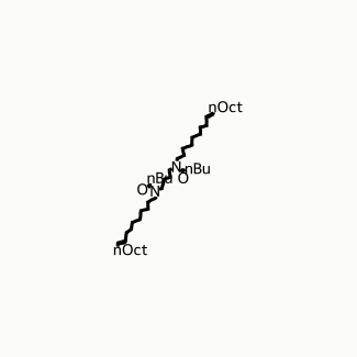 CCCCCCCCC=CCCCCCCCCN(CCCCN(CCCCCCCCC=CCCCCCCCC)C(=O)CCCC)C(=O)CCCC